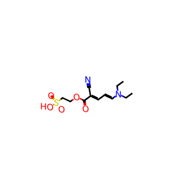 CCN(/C=C/C=C(\C#N)C(=O)OCCS(=O)(=O)O)CC